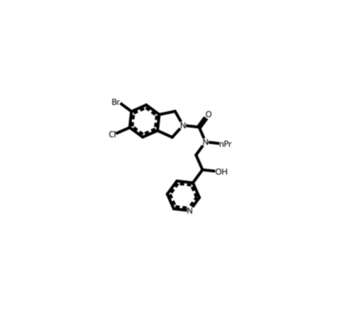 CCCN(CC(O)c1cccnc1)C(=O)N1Cc2cc(Cl)c(Br)cc2C1